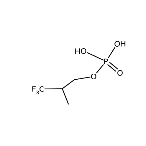 CC(COP(=O)(O)O)C(F)(F)F